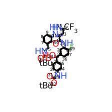 CC(C)(C)OC(=O)NCc1cccc(N/C(=C\C(=N)C(F)(F)F)C(=O)Nc2cc(C(O)c3ccc(NC(=O)OC(C)(C)C)cc3)ccc2F)c1